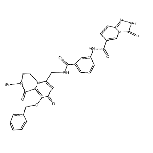 CC(C)N1CCn2c(CNC(=O)c3cccc(NC(=O)c4ccc5n[nH]c(=O)n5c4)c3)cc(=O)c(OCc3ccccc3)c2C1=O